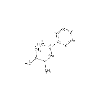 CC(C)C(C)N[C@H](C)c1ccccc1